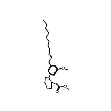 CCCCCCCCCCCc1cc(OC)cc(N2CCCCC2CC(=O)OC)c1